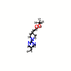 CCc1cnc(N2CCC(CCOOC(C)(C)C)CC2)nc1